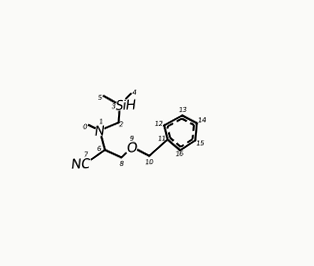 CN(C[SiH](C)C)C(C#N)COCc1ccccc1